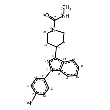 CNC(=O)N1CCC(c2nn(-c3ccc(F)cc3)c3ccccc23)CC1